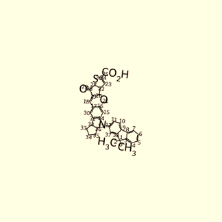 CC1(C)c2ccccc2-c2ccc(N3c4ccc(/C=C5\C(=O)C6C=C(C(=O)O)SC6C5=O)cc4C4CCCC43)cc21